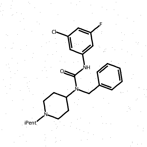 CCCC(C)N1CCC(N(Cc2ccccc2)C(=O)Nc2cc(F)cc(Cl)c2)CC1